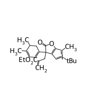 C=C(CC1(C2=CC=C(C)C(C)C2)C(=O)OC2=C1C=I(C(C)(C)C)=C2C)C(=O)OCC